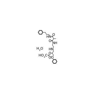 CC(C(=O)NCCCc1ccccc1)C(=O)NCCNCC(COc1ccccc1)OC(=O)C(=O)O.O